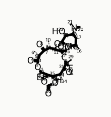 CC[C@H]1OC(=O)[C@H](C)C(=O)[C@H](C)[C@@H](O[C@@H]2O[C@H](C)C[C@H](N(C)C)[C@H]2O)[C@](C)(OC)C[C@](C)(F)C(=O)[C@H](C)[C@H]2OC(=O)O[C@@]21C